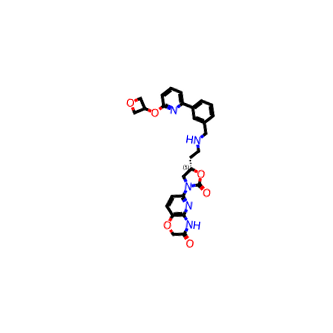 O=C1COc2ccc(N3C[C@H](CCNCc4cccc(-c5cccc(OC6COC6)n5)c4)OC3=O)nc2N1